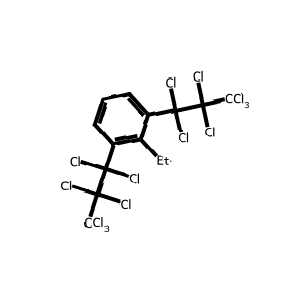 C[CH]c1c(C(Cl)(Cl)C(Cl)(Cl)C(Cl)(Cl)Cl)cccc1C(Cl)(Cl)C(Cl)(Cl)C(Cl)(Cl)Cl